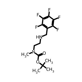 CN(CCNCc1c(F)c(F)c(F)c(F)c1F)C(=O)OC(C)(C)C